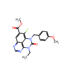 CCN1C(=O)N(Cc2ccc(OC)cc2)c2c(F)c(C(=O)OC)cc3ncnc1c23